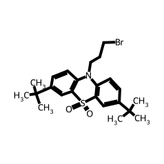 CC(C)(C)c1ccc2c(c1)S(=O)(=O)c1cc(C(C)(C)C)ccc1N2CCCBr